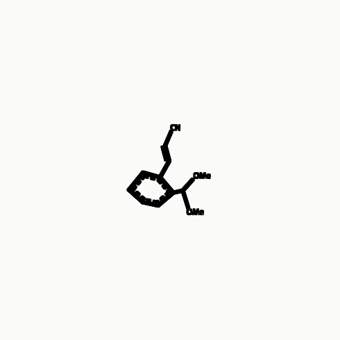 COC(OC)c1ccccc1/C=C/C#N